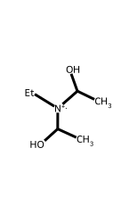 CC[N+](C(C)O)C(C)O